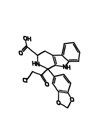 O=C(O)C1Cc2c([nH]c3ccccc23)C(C(=O)CCl)(c2ccc3c(c2)OCO3)N1